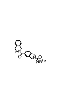 CNC(=O)N1Cc2ccc(C(=O)N3Cc4ccccc4C[C@H]3C)cc2C1